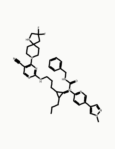 CCCC1/C(=[N+](/C(=O)NCc2ccccc2)c2ccc(-c3cnn(C)c3)cn2)C1CCCNc1ncc(C#N)c(N2CCC3(CC2)CC(F)(F)CN3)n1